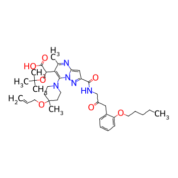 C=CCOC1(C)CCN(c2c(C(OC(C)(C)C)C(=O)O)c(C)nc3cc(C(=O)NCC(=O)Cc4ccccc4OCCCCC)nn23)CC1